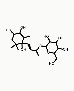 CC(C=CC1(O)C(C)C(O)C(O)CC1(C)C)OC1OC(CO)C(O)C(O)C1O